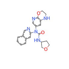 O=C(NC1CCOC1)N(c1cnc2c(c1)NCCO2)c1cc2ccccc2cn1